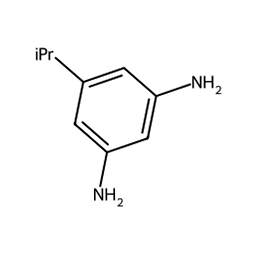 [CH2]C(C)c1cc(N)cc(N)c1